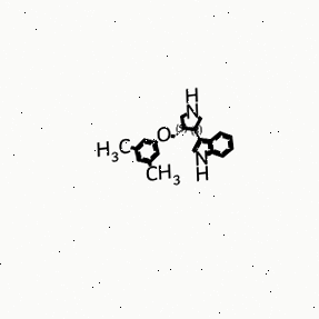 Cc1cc(C)cc(OC[C@@H]2CNC[C@H]2c2c[nH]c3ccccc23)c1